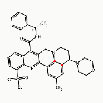 CCS(=O)(=O)c1cccc2c(C(=O)N[C@H](c3ccccc3)C(F)(F)F)c(CN3CCC(N4CCOCC4)CC3)c(-c3cccc(C(F)(F)F)c3)nc12